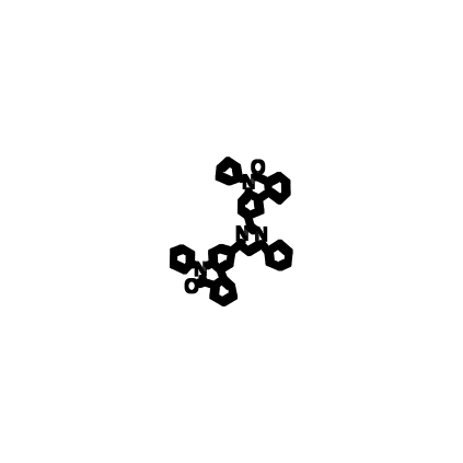 O=c1c2ccccc2c2cc(-c3cc(-c4ccccc4)nc(-c4ccc5c(c4)c4ccccc4c(=O)n5-c4ccccc4)n3)ccc2n1-c1ccccc1